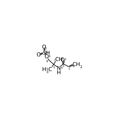 C=CC(=O)NC(C)(C)CO[SH](=O)=O